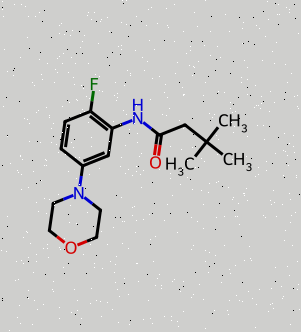 CC(C)(C)CC(=O)Nc1cc(N2CCOCC2)ccc1F